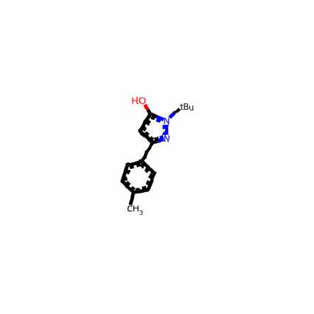 Cc1ccc(-c2cc(O)n(C(C)(C)C)n2)cc1